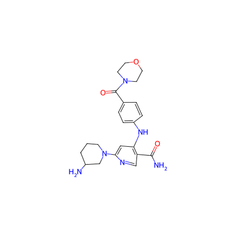 NC(=O)c1cnc(N2CCCC(N)C2)cc1Nc1ccc(C(=O)N2CCOCC2)cc1